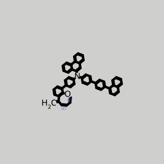 C=C1/C=C\C=C/Oc2c1cccc2-c1ccc(N(c2ccc(-c3ccc(-c4cccc5ccccc45)cc3)cc2)c2cc3ccccc3c3ccccc23)cc1